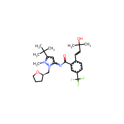 Cn1c(C(C)(C)C)c/c(=N\C(=O)c2cc(C(F)(F)F)ccc2/C=C/C(C)(C)O)n1C[C@H]1CCCO1